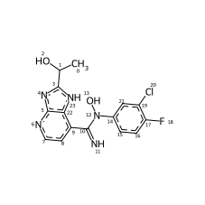 CC(O)c1nc2nccc(C(=N)N(O)c3ccc(F)c(Cl)c3)c2[nH]1